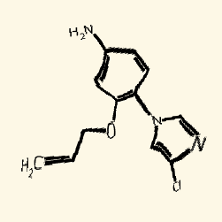 C=CCOc1cc(N)ccc1-n1cnc(Cl)c1